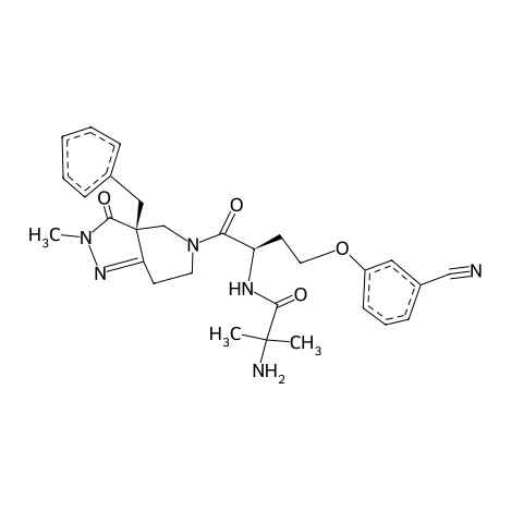 CN1N=C2CCN(C(=O)[C@@H](CCOc3cccc(C#N)c3)NC(=O)C(C)(C)N)C[C@@]2(Cc2ccccc2)C1=O